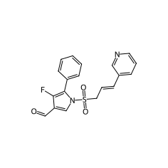 O=Cc1cn(S(=O)(=O)CC=Cc2cccnc2)c(-c2ccccc2)c1F